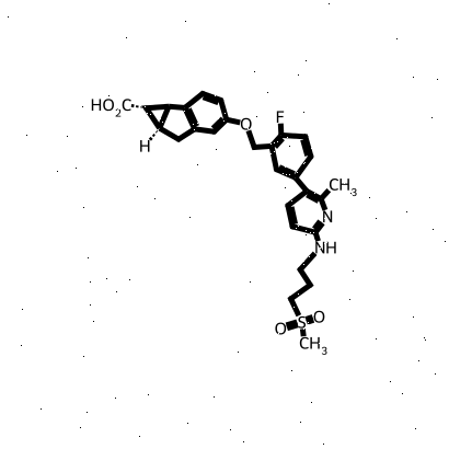 Cc1nc(NCCCS(C)(=O)=O)ccc1-c1ccc(F)c(COc2ccc3c(c2)C[C@@H]2C3[C@H]2C(=O)O)c1